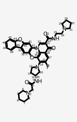 O=C(CN1CCCCC1)N[C@@H]1CCN(c2c(F)cc3c(=O)c(C(=O)NCCN4CCCC4)cn4c3c2Oc2cc3c(cc2-4)oc2ccccc23)C1